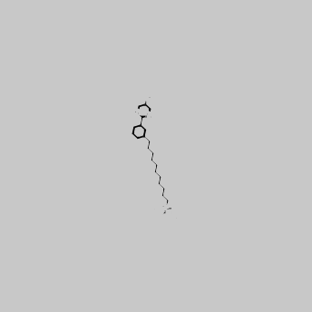 CCCCCCCCc1cnc(-c2cc[c]c(CCCCCCCCCCC[Si](C)(C)CC)c2)nc1